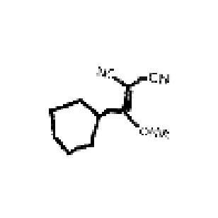 COC(=C(C#N)C#N)C1CCCCC1